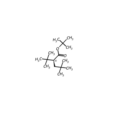 CC(C)(C)C[C@H](C(=O)OC(C)(C)C)C(C)(C)C